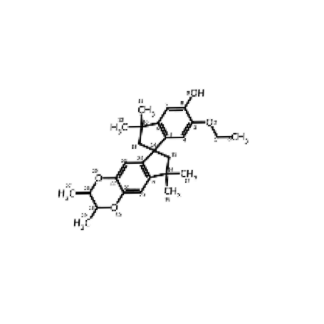 CCOc1cc2c(cc1O)C(C)(C)CC21CC(C)(C)c2cc3c(cc21)OC(C)C(C)O3